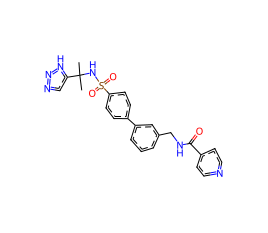 CC(C)(NS(=O)(=O)c1ccc(-c2cccc(CNC(=O)c3ccncc3)c2)cc1)c1cnn[nH]1